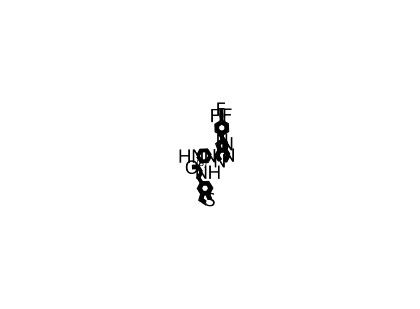 O=C(NCc1ccc2sccc2c1)[C@@H]1CN(c2ncnc3nn(-c4ccc(C(F)(F)F)cc4)cc23)CCN1